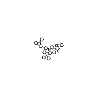 c1ccc(-n2c3ccccc3c3ccc(-c4ccc(N(c5cccc6c5-c5ccccc5C6(c5ccccc5)c5ccccc5)c5cccc6c5-c5ccccc5C65c6ccccc6-n6c7ccccc7c7cccc5c76)cc4)cc32)cc1